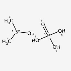 C[S+](C)[O-].O=P(O)(O)O